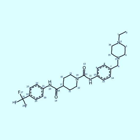 CCN1CCN(Cc2ccc(NC(=O)N3CCC(C(=O)Nc4ccc(C(F)(F)F)cc4)CC3)cc2)CC1